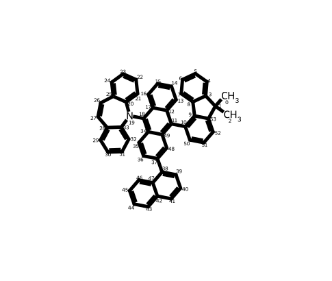 CC1(C)c2ccccc2-c2c(-c3c4ccccc4c(N4c5ccccc5C=Cc5ccccc54)c4ccc(-c5cccc6ccccc56)cc34)cccc21